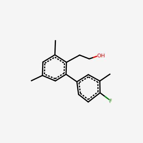 Cc1cc(C)c(CCO)c(-c2ccc(F)c(C)c2)c1